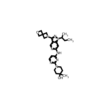 CCC(C)n1nc(N2CC3(COC3)C2)c2cnc(Nc3ccnc(N4CCC(C)(O)CC4)n3)cc21